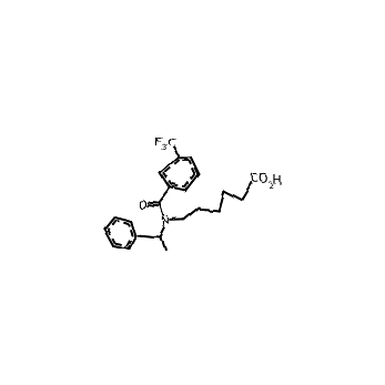 CC(c1ccccc1)N(CCCCCC(=O)O)C(=O)c1cccc(C(F)(F)F)c1